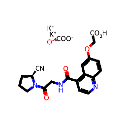 N#C[C@@H]1CCCN1C(=O)CNC(=O)c1ccnc2ccc(OCC(=O)O)cc12.O=C([O-])[O-].[K+].[K+]